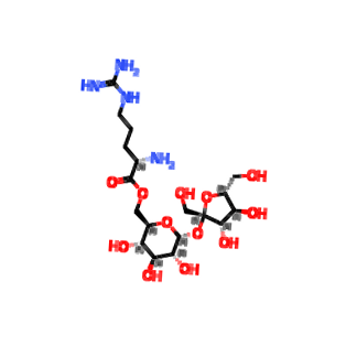 N=C(N)NCCC[C@H](N)C(=O)OC[C@H]1O[C@H](O[C@]2(CO)O[C@H](CO)[C@@H](O)[C@@H]2O)[C@H](O)[C@@H](O)[C@@H]1O